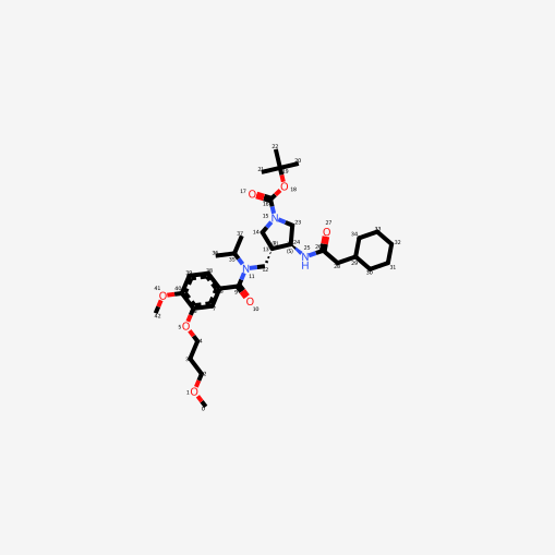 COCCCOc1cc(C(=O)N(C[C@@H]2CN(C(=O)OC(C)(C)C)C[C@H]2NC(=O)CC2CCCCC2)C(C)C)ccc1OC